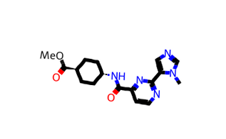 COC(=O)[C@H]1CC[C@H](NC(=O)c2ccnc(-c3cncn3C)n2)CC1